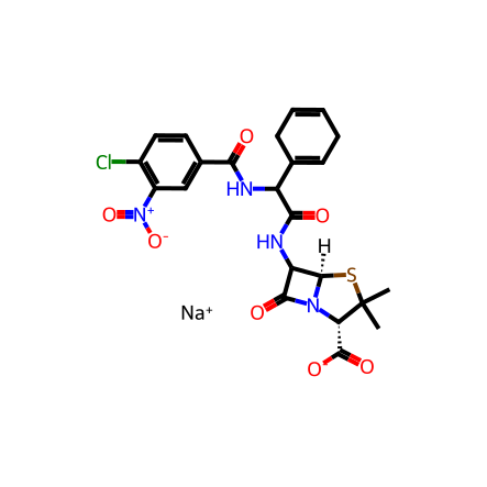 CC1(C)S[C@@H]2C(NC(=O)C(NC(=O)c3ccc(Cl)c([N+](=O)[O-])c3)C3=CCC=CC3)C(=O)N2[C@H]1C(=O)[O-].[Na+]